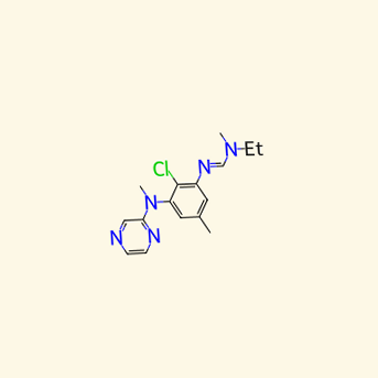 CCN(C)C=Nc1cc(C)cc(N(C)c2cnccn2)c1Cl